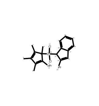 CCCC1=C(C)C(C)=C(C)[C]1(C)[Zr]([Cl])([Cl])[CH]1C(C(C)C)=Cc2ccccc21